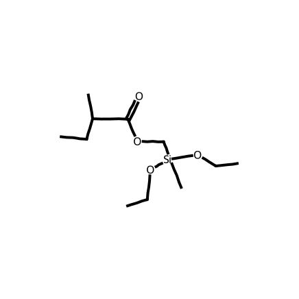 CCO[Si](C)(COC(=O)C(C)CC)OCC